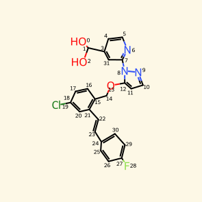 OC(O)c1ccnc(-n2nccc2OCc2ccc(Cl)cc2/C=C/c2ccc(F)cc2)c1